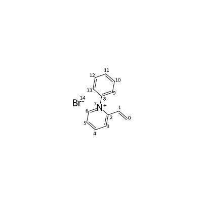 C=Cc1cccc[n+]1-c1ccccc1.[Br-]